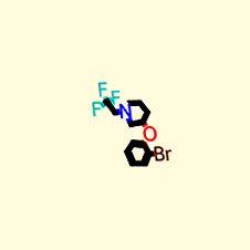 FC(F)(F)CN1CCCC(Oc2ccccc2Br)C1